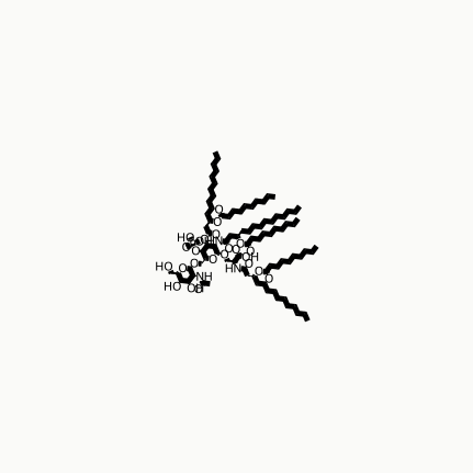 CCCCCCCCCCC[C@H](CC(=O)N[C@H]1[C@H](OC[C@H](NC(=O)C[C@@H](CCCCCCCCCCC)OC(=O)CCCCCCCCC)C(=O)O)O[C@H](CO[C@@H]2O[C@H](CO)[C@@H](O)[C@H](O)[C@H]2NC(C)=O)[C@@H](OP(=O)(O)O)[C@@H]1OC(=O)C[C@@H](CCCCCCCCCCC)OC(=O)CCCCCCCCC)OC(=O)CCCCCCCCC